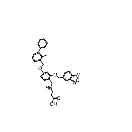 Cc1c(COc2ccc(CNCCC(=O)O)c(OCc3ccc4nonc4c3)c2)cccc1-c1ccccc1